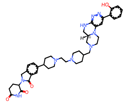 O=C1CCC(N2Cc3ccc(C4CCN(CCN5CCC(CN6CCN7c8cc(-c9ccccc9O)nnc8NC[C@H]7C6)CC5)CC4)cc3C2=O)C(=O)N1